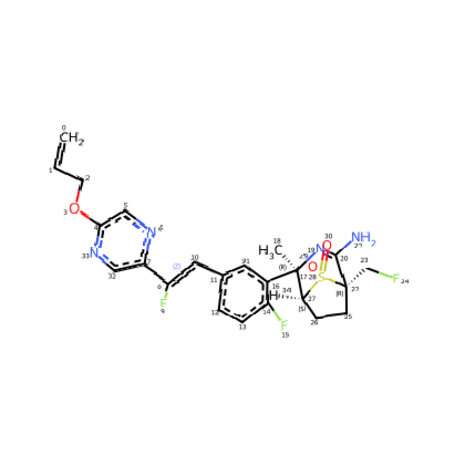 C=CCOc1cnc(/C(F)=C/c2ccc(F)c([C@@]3(C)N=C(N)[C@@]4(CF)CC[C@@H]3S4(=O)=O)c2)cn1